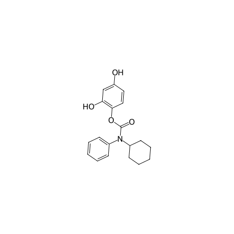 O=C(Oc1ccc(O)cc1O)N(c1ccccc1)C1CCCCC1